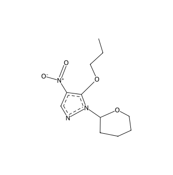 CCCOc1c([N+](=O)[O-])cnn1C1CCCCO1